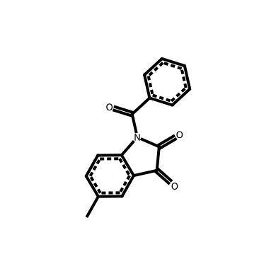 Cc1ccc2c(c1)C(=O)C(=O)N2C(=O)c1ccccc1